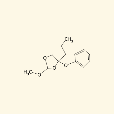 CCCC1(Oc2ccccc2)COC(OC)O1